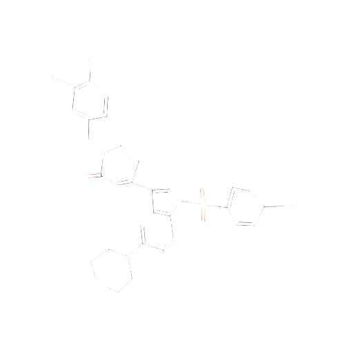 Cc1ccc(S(=O)(=O)n2cc(-c3ccn(Cc4ccc(F)c(Br)c4)c(=O)c3)c3cc(N4CCOCC4)cnc32)cc1